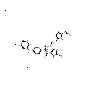 O=Pc1ccc(COCNN(C(=O)c2ccc(Cl)s2)c2ccc(Oc3ccccc3)cc2)o1